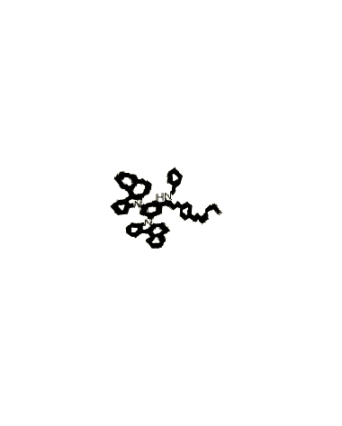 C\C=C/C=C\C=C\c1ccc(C/C=C(\NCc2ccccc2)c2cc(-n3c4c(c5ccccc53)-c3ccccc3CC=C4)cc(-n3c4ccccc4c4c5ccccc5ccc43)c2)cc1